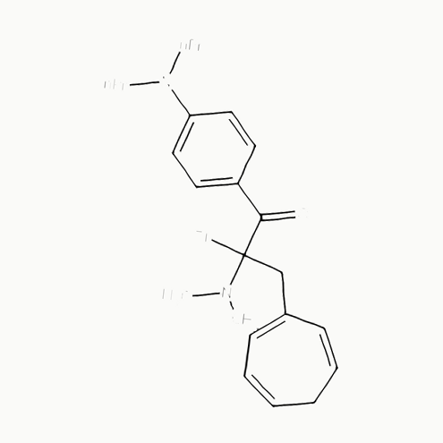 CCCN(CCC)c1ccc(C(=O)C(CC)(CC2=CC=CCC=C2)N(C)C)cc1